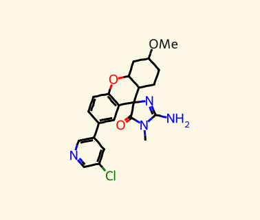 COC1CCC2C(C1)Oc1ccc(-c3cncc(Cl)c3)cc1C21N=C(N)N(C)C1=O